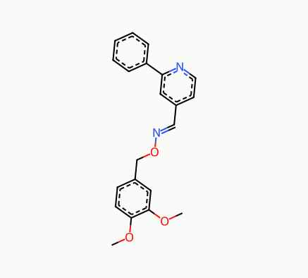 COc1ccc(CON=Cc2ccnc(-c3ccccc3)c2)cc1OC